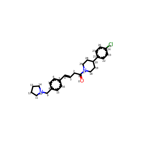 O=C(C/C=C/c1ccc(CN2CCCC2)cc1)N1CCC(c2ccc(Cl)cc2)CC1